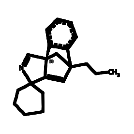 CCCC12C=C3C4(CCCCC4)N=C[C@@]3(C1)c1ccccc12